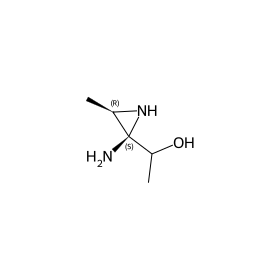 CC(O)[C@@]1(N)N[C@@H]1C